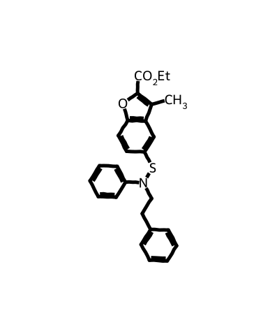 CCOC(=O)c1oc2ccc(SN(CCc3ccccc3)c3ccccc3)cc2c1C